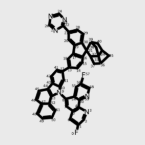 Fc1cnc2c(c1)cc(-n1c3cc(-c4ccc5c(c4)-c4cc(-c6ncncn6)ccc4C54C5CC6CC(C5)CC4C6)ccc3c3ccc4ccccc4c31)c1cc(F)cnc12